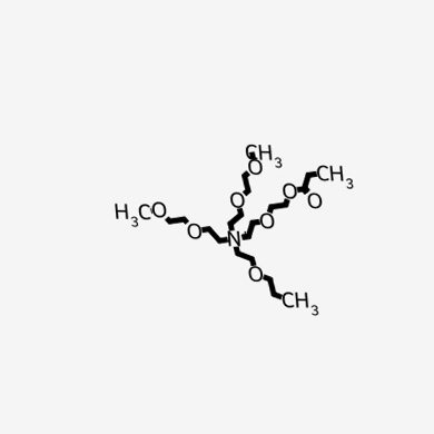 CCCOCC[N+](CCOCCOC)(CCOCCOC)CCOCCOC(=O)CC